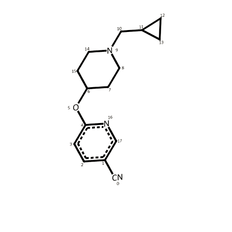 N#Cc1ccc(OC2CCN(CC3CC3)CC2)nc1